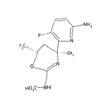 C[C@@]1(c2nc(N)ccc2F)C[C@@H](C(F)(F)F)OC(NC(=O)O)=N1